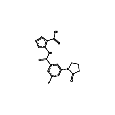 O=C(Nc1cscc1C(=O)O)c1cc(F)cc(N2CCCC2=O)c1